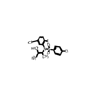 CCCC(O)C(C)N(c1cc(Cl)ccc1F)S(=O)(=O)c1ccc(Cl)cc1